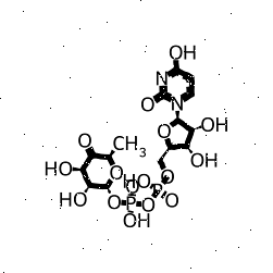 C[C@H]1O[C@H](OP(=O)(O)OP(=O)(O)OC[C@H]2O[C@@H](n3ccc(O)nc3=O)[C@H](O)[C@@H]2O)[C@H](O)[C@@H](O)C1=O